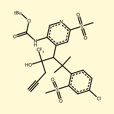 C#CCC(O)(C(c1cc(S(C)(=O)=O)ncc1NC(=O)OC(C)(C)C)C(C)(C)c1ccc(Cl)cc1S(C)(=O)=O)C(F)(F)F